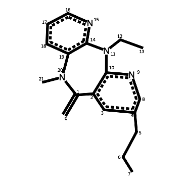 C=C1c2cc(CCC)cnc2N(CC)c2ncccc2N1C